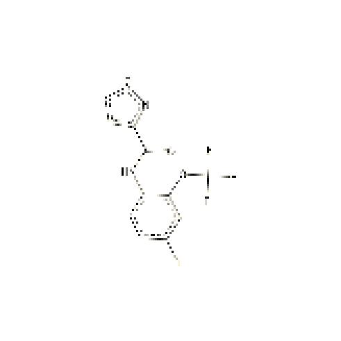 O=C(Nc1ccc(I)cc1OC(F)(F)F)c1cc[nH]n1